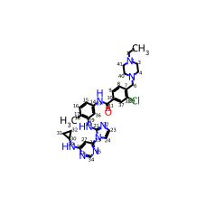 CCN1CCN(Cc2ccc(C(=O)Nc3ccc(C)c(Nc4nccn4-c4cc(NC5CC5)ncn4)c3)cc2Cl)CC1